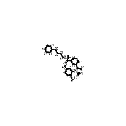 COc1ccc(C)cc1-n1c(-c2cccc(C(=O)NCCCCc3ccccc3)c2)csc1=O